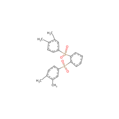 Cc1ccc(S(=O)(=O)c2ccccc2S(=O)(=O)c2ccc(C)c(C)c2)cc1C